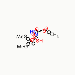 COc1ccc(C(OCC2OC(n3cc(C#CCOC(=O)c4ccc(C)cc4)c(=O)[nH]c3=O)CC2O)(c2ccccc2)c2ccc(OC)cc2)cc1